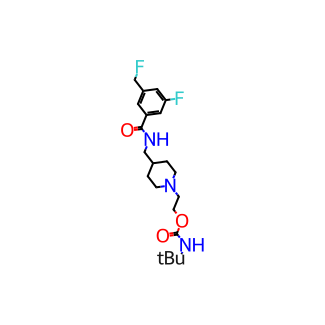 CC(C)(C)NC(=O)OCCN1CCC(CNC(=O)c2cc(F)cc(CF)c2)CC1